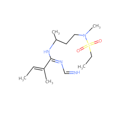 C/C=C(C)/C(=N\C=N)NC(C)CCN(C)S(=O)(=O)CC